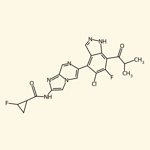 CC(C)C(=O)c1c(F)c(Cl)c(-c2cn3cc(NC(=O)C4CC4F)nc3cn2)c2cn[nH]c12